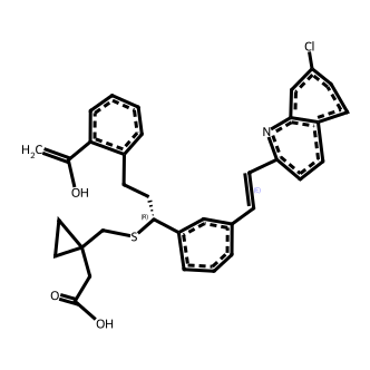 C=C(O)c1ccccc1CC[C@@H](SCC1(CC(=O)O)CC1)c1cccc(/C=C/c2ccc3ccc(Cl)cc3n2)c1